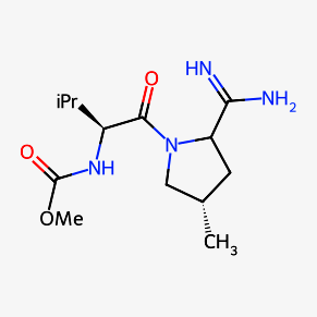 COC(=O)N[C@H](C(=O)N1C[C@@H](C)CC1C(=N)N)C(C)C